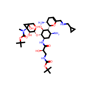 CN(C(=O)OC(C)(C)C)[C@@]12C[C@]1(O)CO[C@H](O[C@H]1[C@H](NC(=O)[C@H](O)CNC(=O)OC(C)(C)C)C[C@H](N)C([C@H]3OC(CNCC4CC4)=CC[C@H]3N)[C@@H]1O)[C@@H]2O